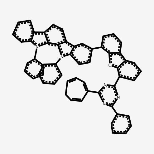 C1=CCC=CC(c2nc(-c3ccccc3)nc(-c3cccc4c3oc3c(-c5ccc6c(c5)c5ccc7c8ccccc8n(-c8ccccc8)c7c5n6-c5ccccc5)cccc34)n2)=C1